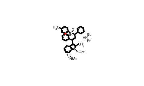 CCCCCCCCn1c(C)c(C(=CC(c2ccccc2)S(=O)(=O)c2ccc(C)cc2)c2ccccc2)c2ccccc21.CCNCC.CNC